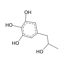 CC(O)Cc1cc(O)c(O)c(O)c1